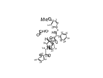 COc1ccc(CNC(C(=O)O[C@H]2C[N+]3(CC(=O)c4cccs4)CCC2CC3)c2ccccc2)cc1.O=C[O-]